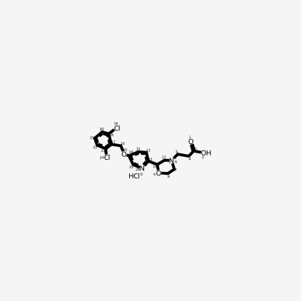 Cl.O=C(O)CCN1CCOC(c2ccc(OCc3c(Cl)cccc3Cl)cn2)C1